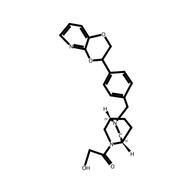 O=C(CO)N1C[C@@H]2CC[C@H]1CN2Cc1ccc(C2COc3cccnc3O2)cc1